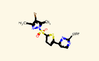 CSc1nccc(C2=CCC(S(=O)(=O)n3nc(C)c(Br)c3C)S2)n1